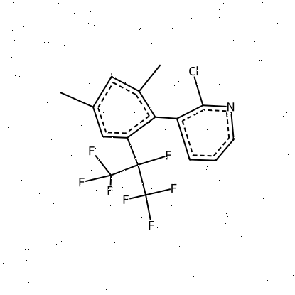 Cc1[c]c(C)c(-c2cccnc2Cl)c(C(F)(C(F)(F)F)C(F)(F)F)c1